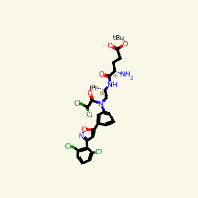 CC(C)[C@@H](CN(C(=O)C(Cl)Cl)c1cccc(-c2cc(-c3c(Cl)cccc3Cl)no2)c1)NC(=O)[C@@H](N)CCC(=O)OC(C)(C)C